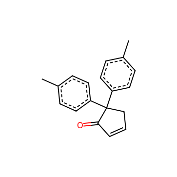 Cc1ccc(C2(c3ccc(C)cc3)CC=CC2=O)cc1